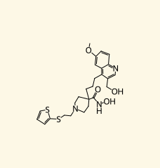 COc1ccc2ncc(CO)c(CCCC3(C(=O)NO)CCN(CCSc4cccs4)CC3)c2c1